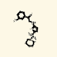 N#Cc1cccc(C(=O)CNc2ccc(S(=O)(=O)N3CCCCC3)s2)c1